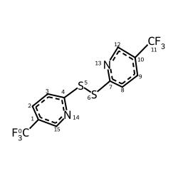 FC(F)(F)c1ccc(SSc2ccc(C(F)(F)F)cn2)nc1